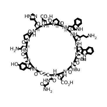 CCCC[C@H]1C(=O)N(C)[C@@H](CCCC)C(=O)N[C@@H](CCC(=O)O)C(=O)N[C@H](C(=O)NCC(N)=O)CSCC(=O)N[C@@H](Cc2ccc(O)cc2)C(=O)N(C)[C@@H](C)C(=O)N[C@@H](CCN)C(=O)N2CCC[C@H]2C(=O)N[C@@H](CCc2c[nH]cn2)C(=O)N[C@@H](CCC(=O)O)C(=O)N2CCC[C@H]2C(=O)N[C@@H](Cc2c[nH]c3ccccc23)C(=O)N[C@@H](CCCCN)C(=O)N[C@@H](Cc2c[nH]c3ccccc23)C(=O)N1C